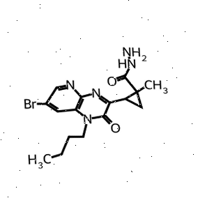 CCCCn1c(=O)c(C2CC2(C)C(=O)NN)nc2ncc(Br)cc21